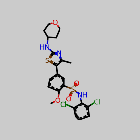 COc1ccc(-c2sc(NC3CCOCC3)nc2C)cc1S(=O)(=O)Nc1c(Cl)cccc1Cl